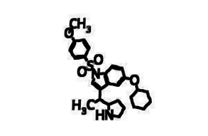 COc1ccc(S(=O)(=O)n2cc(C(C)C3CCCN3)c3cc(OC4CCCCC4)ccc32)cc1